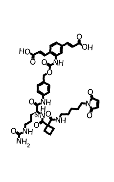 NC(=O)NCCC[C@H](NC(=O)C1(C(=O)NCCCCCN2C(=O)C=CC2=O)CCC1)C(=O)Nc1ccc(COC(=O)Nc2cc(C=CC(=O)O)ccc2C=CC(=O)O)cc1